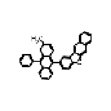 CC1C=Cc2c(c(-c3ccccc3)c3ccccc3c2-c2ccc3oc4cc5ccccc5cc4c3c2)C1